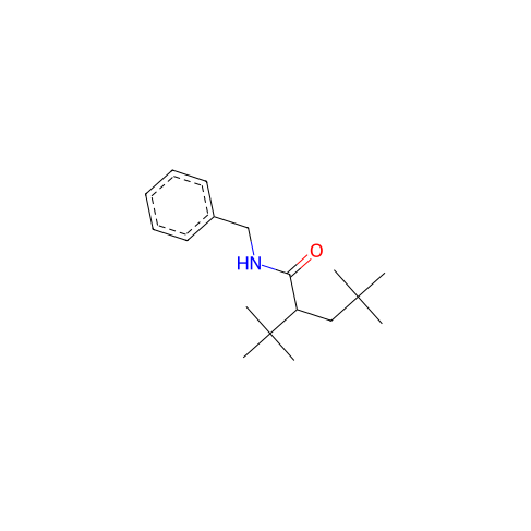 CC(C)(C)CC(C(=O)NCc1ccccc1)C(C)(C)C